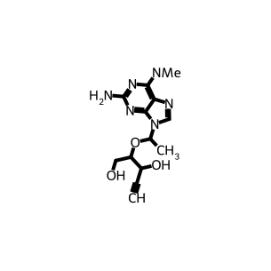 C#CC(O)C(CO)OC(C)n1cnc2c(NC)nc(N)nc21